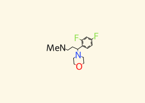 CNCCC(c1ccc(F)cc1F)N1CCOCC1